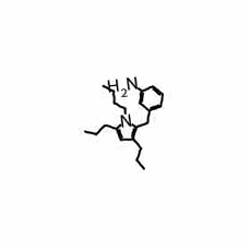 CCCCn1c(CCC)cc(CCC)c1Cc1cccc(N)c1